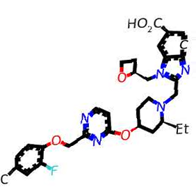 CC[C@H]1C[C@@H](Oc2ccnc(COc3ccc(C#N)cc3F)n2)CCN1Cc1nc2ccc(C(=O)O)cc2n1C[C@@H]1CCO1